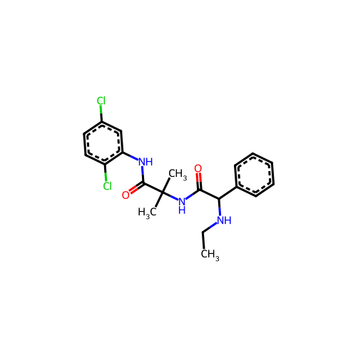 CCNC(C(=O)NC(C)(C)C(=O)Nc1cc(Cl)ccc1Cl)c1ccccc1